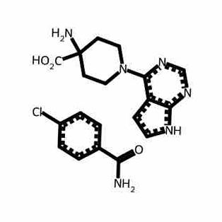 NC(=O)c1ccc(Cl)cc1.NC1(C(=O)O)CCN(c2ncnc3[nH]ccc23)CC1